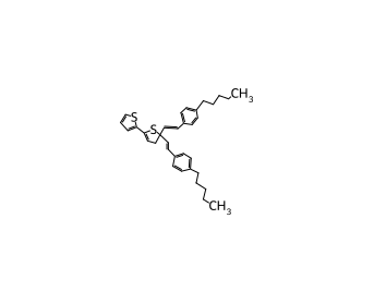 CCCCCc1ccc(C=CC2(C=Cc3ccc(CCCCC)cc3)CC=C(c3cccs3)S2)cc1